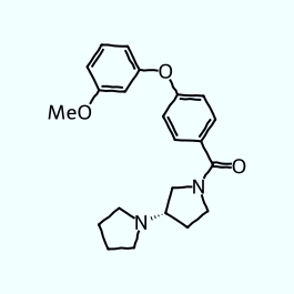 COc1cccc(Oc2ccc(C(=O)N3CC[C@H](N4CCCC4)C3)cc2)c1